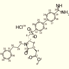 COC(=O)C[C@@H]1C[C@@H](CS(=O)(=O)c2ccc(-c3ccc(C(=N)N)cc3)cc2)N(CCCc2ccccc2)C1=O.Cl